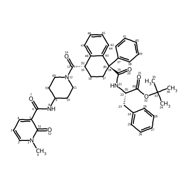 Cn1cccc(C(=O)NC2CCN(C(=O)[C@H]3CC[C@@](C(=O)N[C@@H](Cc4ccccc4)C(=O)OC(C)(C)C)(c4ccccc4)c4ccccc43)CC2)c1=O